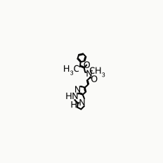 Cc1c(CN(C)C(=O)/C=C/c2cnc3c(c2)CN2CCC[C@H]2CN3)oc2ccccc12